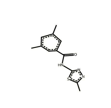 Cc1cc(C)cc(C(=O)Nc2nnc(C)s2)c1